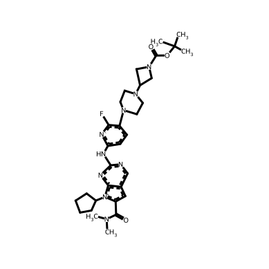 CN(C)C(=O)c1cc2cnc(Nc3ccc(N4CCN(C5CN(C(=O)OC(C)(C)C)C5)CC4)c(F)n3)nc2n1C1CCCC1